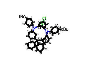 CC(C)(C)c1ccc(N2c3cccc(c3)C(c3ccccc3)(c3ccccc3)c3cccc(c3)N(c3ccc(C(C)(C)C)cc3)c3cc(Cl)cc2c3Cl)cc1